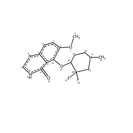 COc1ccc2nc[nH]c(=O)c2c1OC1CCN(C)CC1(F)F